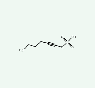 CCCCC#COS(=O)(=O)O